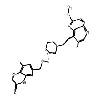 COc1ccc2ncc(F)c(CCN3CCO[C@@H](CNCc4cc(F)c5c(c4)NC(=O)CO5)C3)c2n1